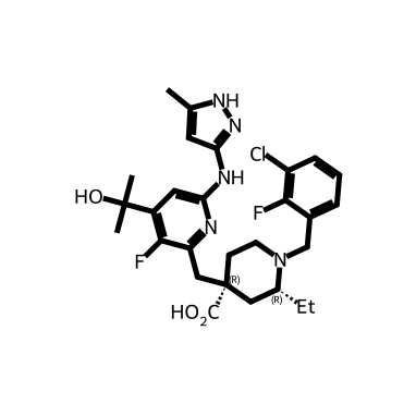 CC[C@@H]1C[C@](Cc2nc(Nc3cc(C)[nH]n3)cc(C(C)(C)O)c2F)(C(=O)O)CCN1Cc1cccc(Cl)c1F